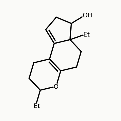 CCC1CCC2=C(CCC3(CC)C2=CCC3O)O1